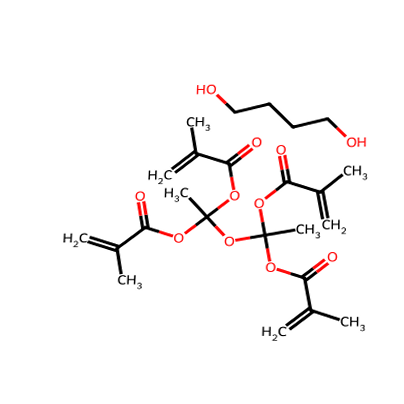 C=C(C)C(=O)OC(C)(OC(=O)C(=C)C)OC(C)(OC(=O)C(=C)C)OC(=O)C(=C)C.OCCCCO